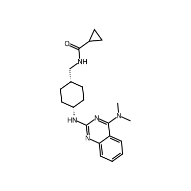 CN(C)c1nc(N[C@H]2CC[C@@H](CNC(=O)C3CC3)CC2)nc2ccccc12